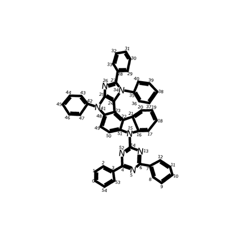 c1ccc(-c2nc(-c3ccccc3)nc(-n3c4ccccc4c4c5c6c(nc(-c7ccccc7)n6-c6ccccc6)n(-c6ccccc6)c5ccc43)n2)cc1